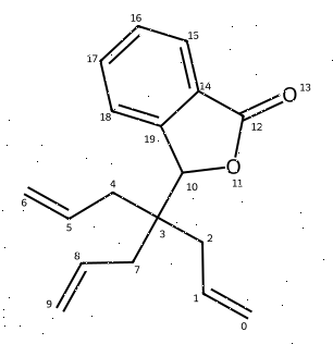 C=CCC(CC=C)(CC=C)C1OC(=O)c2ccccc21